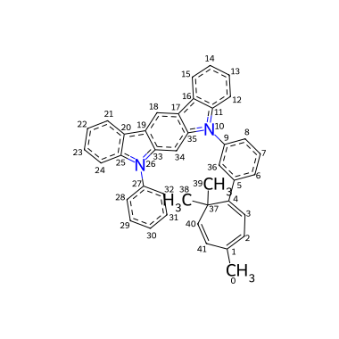 CC1=CC=C(c2cccc(-n3c4ccccc4c4cc5c6ccccc6n(-c6ccccc6)c5cc43)c2)C(C)(C)C=C1